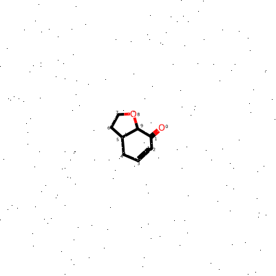 O=C1C=CCC2CCOC12